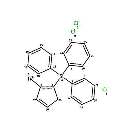 [Cl-].[Cl-].[Cl-].[Ti+3][C]1=C([Si](c2ccccc2)(c2ccccc2)c2ccccc2)CC=C1